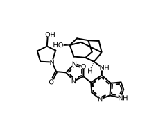 O=C(c1noc(-c2cnc3[nH]ccc3c2N[C@H]2C3CC4CC2C[C@@](O)(C4)C3)n1)N1CCC(O)C1